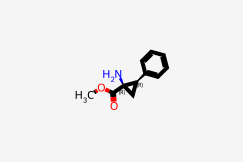 COC(=O)[C@@]1(N)C[C@@H]1c1ccccc1